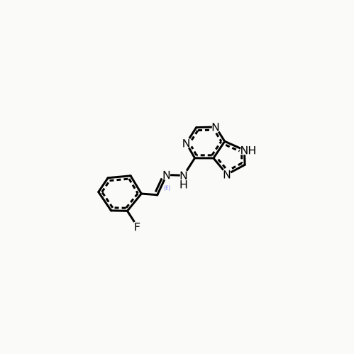 Fc1ccccc1/C=N/Nc1ncnc2[nH]cnc12